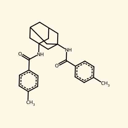 Cc1ccc(C(=O)NC23CC4CC(C2)CC(NC(=O)c2ccc(C)cc2)(C4)C3)cc1